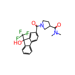 CN(C)C(=O)C1CCN(C(=O)c2ccc3c(c2)C(O)(C(F)(F)F)c2ccccc2-3)C1